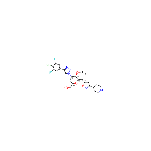 CO[C@H]1[C@@H](C[C@H]2CC(C3CCNCC3)=NO2)O[C@@H](CO)C[C@@H]1n1cc(-c2cc(F)c(Cl)c(F)c2)nn1